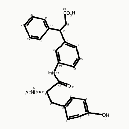 CC(=O)N[C@@H](Cc1ccc(O)cc1)C(=O)Nc1cccc(C(CC(=O)O)c2ccccc2)c1